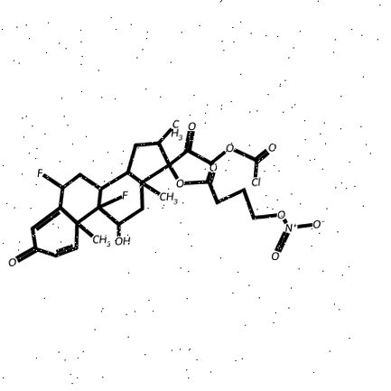 CC1CC2C3CC(F)C4=CC(=O)C=CC4(C)C3(F)C(O)CC2(C)C1(OC(=O)CCCO[N+](=O)[O-])C(=O)COC(=O)Cl